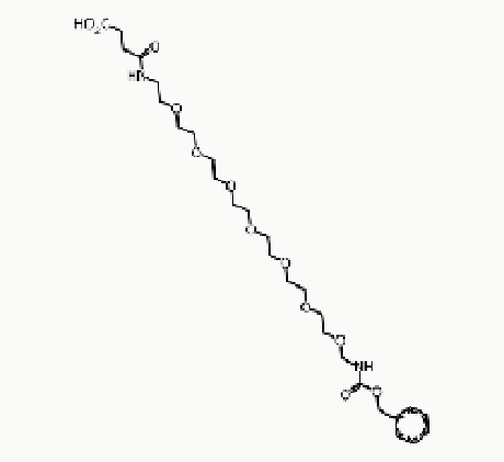 O=C(O)CCC(=O)NCCOCCOCCOCCOCCOCCOCCOCNC(=O)OCc1ccccc1